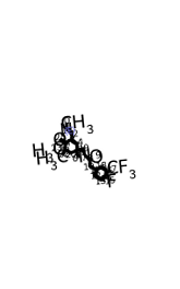 C/N=C/C1=CC2(CN(C(=O)Cc3ccc(F)c(C(F)(F)F)c3)C2)CC(C)(C)C1=O